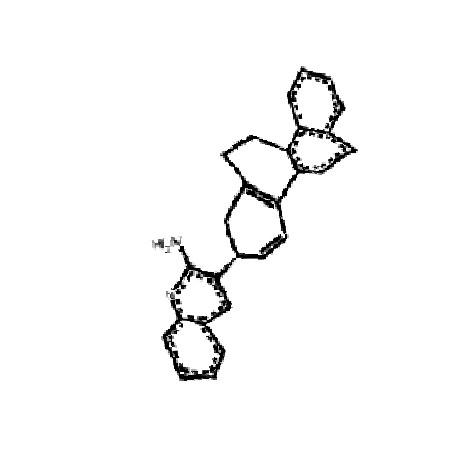 Nc1nc2ccccc2cc1[C@@H]1C=CC2=C(CCc3c2ccc2ccccc32)C1